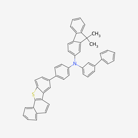 CC1(C)c2ccccc2-c2ccc(N(c3ccc(-c4ccc5sc6c7ccccc7ccc6c5c4)cc3)c3cccc(-c4ccccc4)c3)cc21